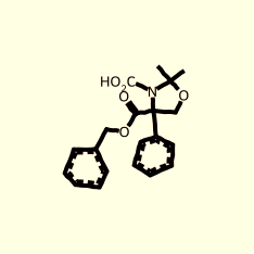 CC1(C)OCC(C(=O)OCc2ccccc2)(c2ccccc2)N1C(=O)O